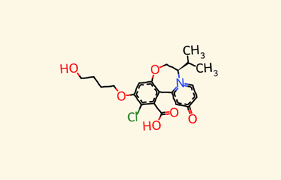 CC(C)[C@@H]1COc2cc(OCCCCO)c(Cl)c(C(=O)O)c2-c2cc(=O)ccn21